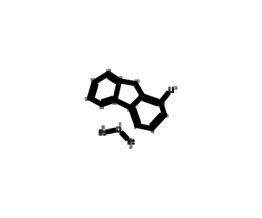 CCOCC.[Li][c]1cccc2c1Cc1ccccc1-2